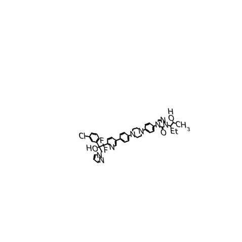 CCC(C(C)O)n1ncn(-c2ccc(N3CCN(c4ccc(-c5ccc(C(F)(F)C(O)(Cn6cccn6)c6cccc(Cl)c6)nc5)cc4)CC3)cc2)c1=O